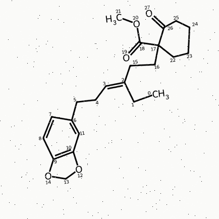 CC/C(=C\CCc1ccc2c(c1)OCO2)CCC1(C(=O)OC)CCCCC1=O